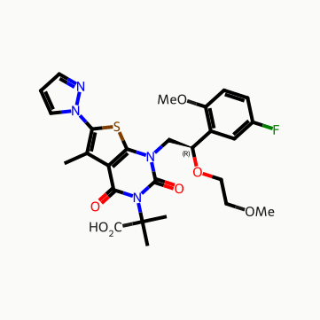 COCCO[C@@H](Cn1c(=O)n(C(C)(C)C(=O)O)c(=O)c2c(C)c(-n3cccn3)sc21)c1cc(F)ccc1OC